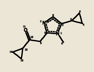 Cn1c(C2CC2)cnc1CC(=O)C1CC1